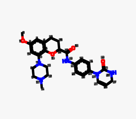 COc1cc2c(c(N3CCN(C)CC3)c1)OC(C(=O)Nc1ccc(N3C=CCNC3=O)cc1)CC2